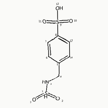 O=[SH](=O)NCc1ccc(S(=O)(=O)O)cc1